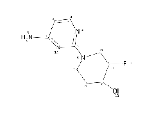 Nc1ccnc(N2CCC(O)C(F)C2)n1